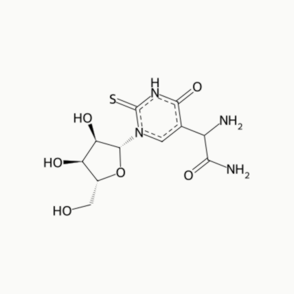 NC(=O)C(N)c1cn([C@@H]2O[C@H](CO)[C@@H](O)[C@H]2O)c(=S)[nH]c1=O